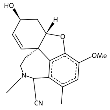 COc1cc(C)c2c3c1O[C@H]1C[C@H](O)C=C[C@]31CCN(C)C2C#N